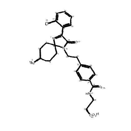 CC(C)(C)C1CCC2(CC1)N=C(c1ccccc1Cl)C(=O)N2CCc1ccc(C(=O)NCCC(=O)O)cc1